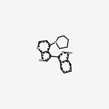 c1ccc2c(-c3c[nH]c4nccc(N5CCCCC5)c34)n[nH]c2c1